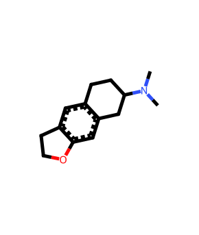 CN(C)C1CCc2cc3c(cc2C1)OCC3